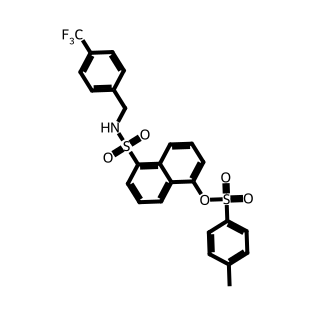 Cc1ccc(S(=O)(=O)Oc2cccc3c(S(=O)(=O)NCc4ccc(C(F)(F)F)cc4)cccc23)cc1